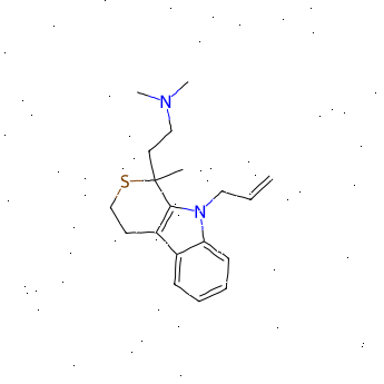 C=CCn1c2c(c3ccccc31)CCSC2(C)CCN(C)C